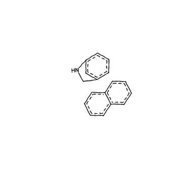 c1cc2cc(c1)NC2.c1ccc2ccccc2c1